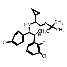 CC(C)(C)SC[C@@H](N[C@H](c1ccc(Cl)cc1)[C@H](O)c1cccc(Cl)c1F)C1CC1